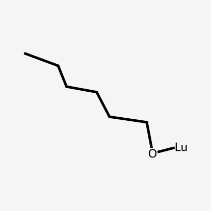 CCCCCC[O][Lu]